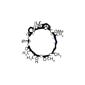 CO[C@H]1C[C@@H]2CC[C@@H](C)[C@@](O)(O2)C(=O)C(=O)N2CCCC[C@H]2C(=O)C[C@H](C(C)C)CC(=O)[C@H](C)/C=C(\C)[C@@H](O)CC(=O)[C@H](C)C[C@H](C)/C=C/C=C/C=C/1C